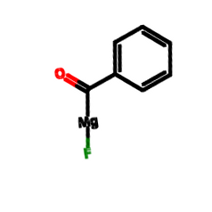 O=[C]([Mg][F])c1ccccc1